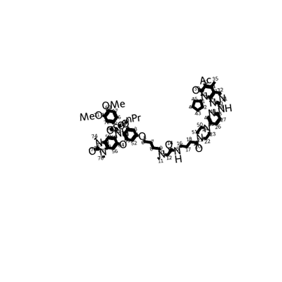 CCCOc1cc(OCCCCN(C)CC(=O)NCCCC(=O)N2CCN(c3ccc(Nc4ncc5c(C)c(C(C)=O)c(=O)n(C6CCCC6)c5n4)nc3)CC2)cc(Oc2cc3c(cc2NS(=O)(=O)c2ccc(OC)c(OC)c2)n(C)c(=O)n3C)c1